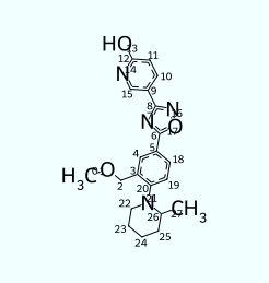 COCc1cc(-c2nc(-c3ccc(O)nc3)no2)ccc1N1CCCCC1C